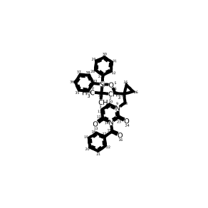 CC(C)(C)[Si](OCC1(Cn2ccc(=O)n(C(=O)c3ccccc3)c2=O)CC1)(c1ccccc1)c1ccccc1